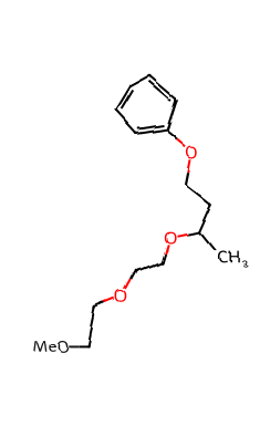 COCCOCCOC(C)CCOc1ccccc1